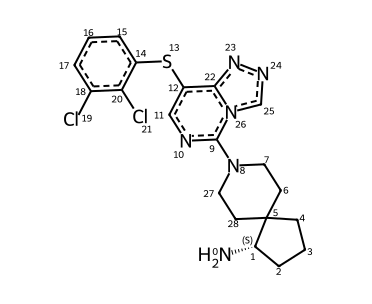 N[C@H]1CCCC12CCN(c1ncc(Sc3cccc(Cl)c3Cl)c3nncn13)CC2